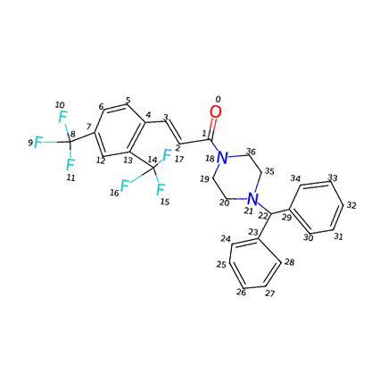 O=C(/C=C/c1ccc(C(F)(F)F)cc1C(F)(F)F)N1CCN(C(c2ccccc2)c2ccccc2)CC1